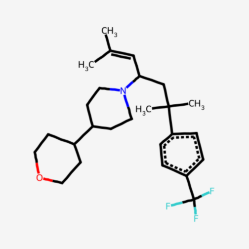 CC(C)=CC(CC(C)(C)c1ccc(C(F)(F)F)cc1)N1CCC(C2CCOCC2)CC1